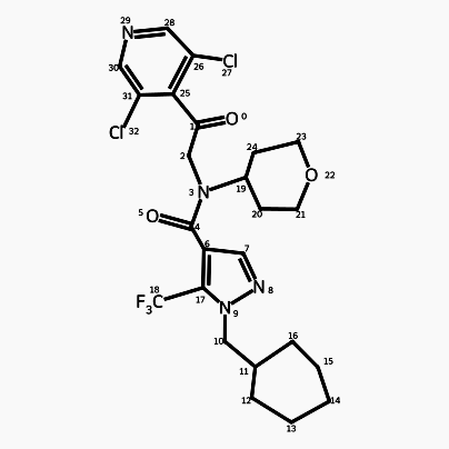 O=C(CN(C(=O)c1cnn(CC2CCCCC2)c1C(F)(F)F)C1CCOCC1)c1c(Cl)cncc1Cl